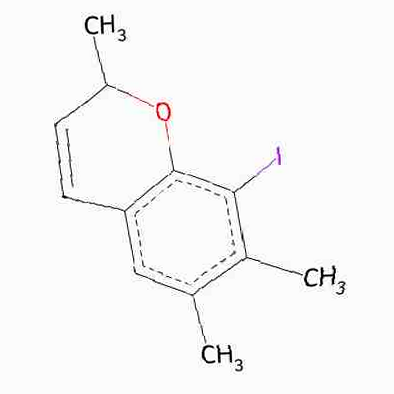 Cc1cc2c(c(I)c1C)OC(C)C=C2